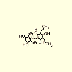 C=CCc1c(O)c(CC=C)c(O)c(COc2c(CCC)c(O)cc(O)c2CCC)c1O